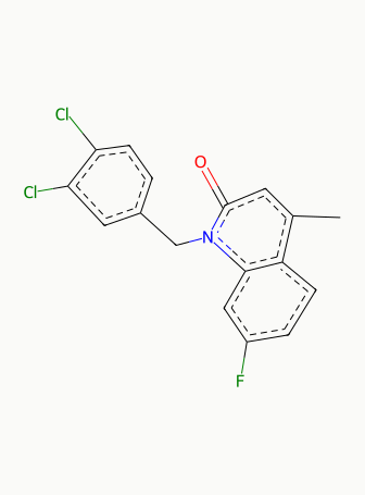 Cc1cc(=O)n(Cc2ccc(Cl)c(Cl)c2)c2cc(F)ccc12